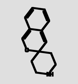 C1=c2ccccc2=CC2(CCNCC2)O1